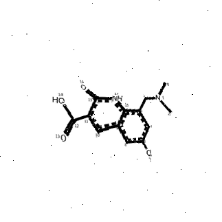 CN(C)Cc1cc(Cl)cc2cc(C(=O)O)c(=O)[nH]c12